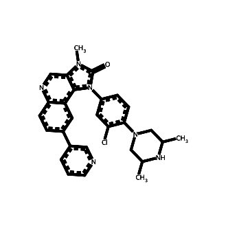 CC1CN(c2ccc(-n3c(=O)n(C)c4cnc5ccc(-c6cccnc6)cc5c43)cc2Cl)CC(C)N1